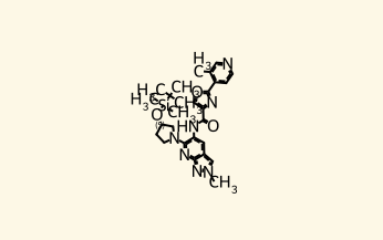 Cc1cnccc1-c1nc(C(=O)Nc2cc3cn(C)nc3nc2N2CC[C@H](O[Si](C)(C)C(C)(C)C)C2)co1